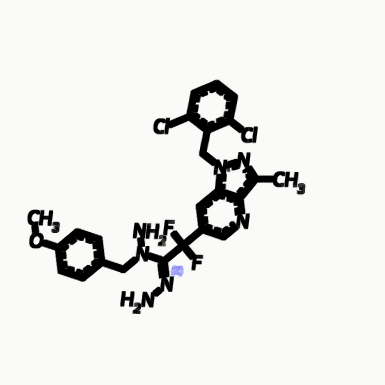 COc1ccc(CN(N)/C(=N\N)C(F)(F)c2cnc3c(C)nn(Cc4c(Cl)cccc4Cl)c3c2)cc1